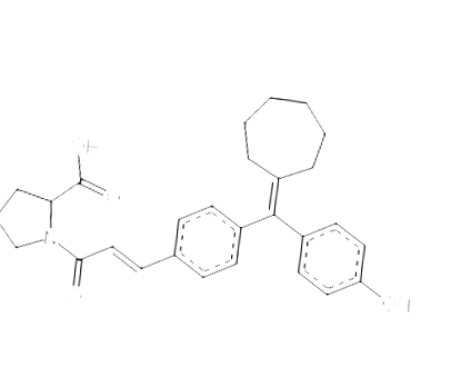 O=C(O)C1CCCN1C(=O)C=Cc1ccc(C(=C2CCCCCC2)c2ccc(O)cc2)cc1